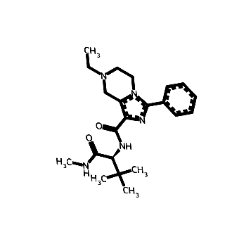 CCN1CCn2c(-c3ccccc3)nc(C(=O)N[C@H](C(=O)NC)C(C)(C)C)c2C1